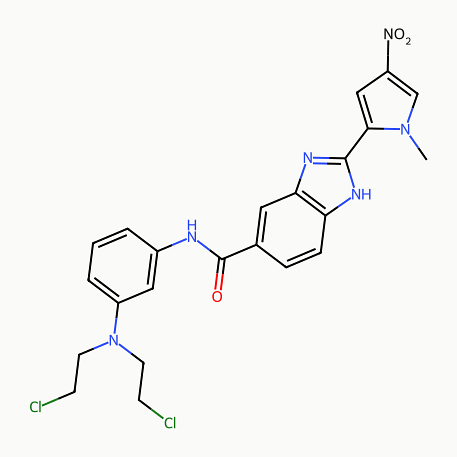 Cn1cc([N+](=O)[O-])cc1-c1nc2cc(C(=O)Nc3cccc(N(CCCl)CCCl)c3)ccc2[nH]1